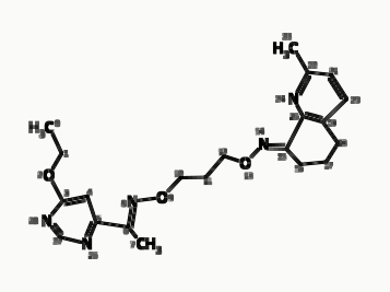 CCOc1cc(/C(C)=N/OCCCO/N=C2\CCCc3ccc(C)nc32)ncn1